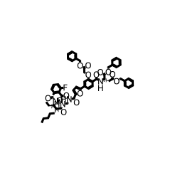 CCCCC[C@@H](C(=O)NCNC(=O)c1ccc(-c2ccc(C(=O)N[C@@H](CC(=O)OCc3ccccc3)C(=O)OCc3ccccc3)c(OCC(=O)OCc3ccccc3)c2)o1)[C@@H](CC)N(C=O)OC(=O)c1c(C)cccc1F